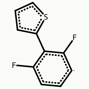 Fc1[c]ccc(F)c1-c1cccs1